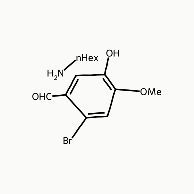 CCCCCCN.COc1cc(Br)c(C=O)cc1O